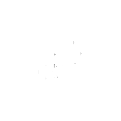 O=C(NC(=O)C(F)(F)F)c1c(F)c(F)c(F)c(F)c1F